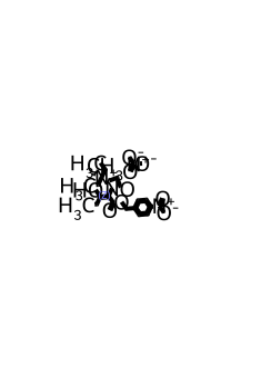 CC/C(O)=C(\C(=O)OCc1ccc([N+](=O)[O-])cc1)N1C(=O)CC1[N+](CC)(CC)CC.O=[N+]([O-])[O-]